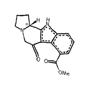 COC(=O)c1cccc2[nH]c3c(c12)C(=O)CN1CCC[C@H]31